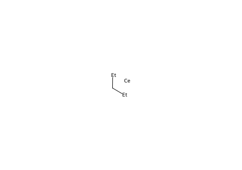 CCCCC.[Ce]